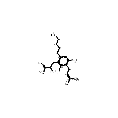 C=C(C)C(O)Cc1c(CCCCC)cc(O)c(CC=C(C)C)c1O